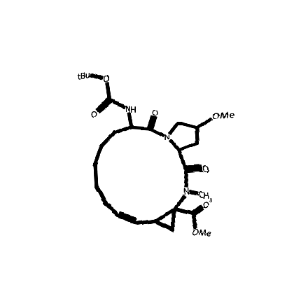 COC(=O)C12CC1/C=C\CCCCCC(NC(=O)OC(C)(C)C)C(=O)N1CC(OC)CC1C(=O)N2C